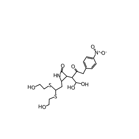 O=C(Cc1ccc([N+](=O)[O-])cc1)C(C(O)O)C1C(=O)NC1CC(SCCO)SCCO